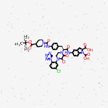 CC(C)(C)OC(=O)C1CCN(C(=O)Nc2ccc(C[C@@H](C(=O)Nc3ccc4c(c3)cc(C(=O)O)n4C(=O)O)N3CCN(c4cc(Cl)ccc4-n4cnnn4)C(=O)C3=O)cc2)CC1